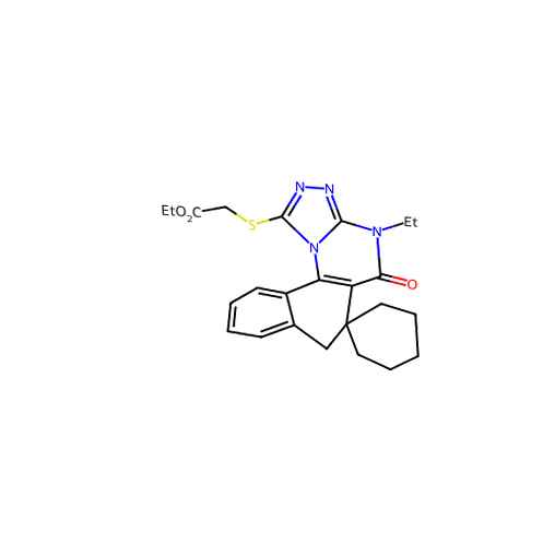 CCOC(=O)CSc1nnc2n(CC)c(=O)c3c(n12)-c1ccccc1CC31CCCCC1